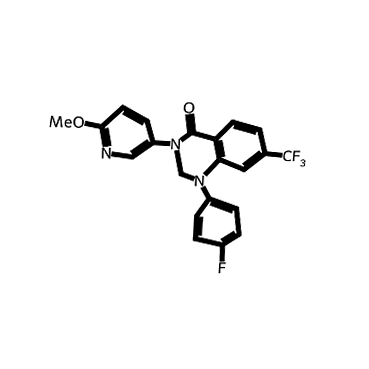 COc1ccc(N2CN(c3ccc(F)cc3)c3cc(C(F)(F)F)ccc3C2=O)cn1